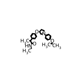 CCNC(=O)C(C)c1ccc(O[C@@H]2CCN(c3ccc(OC(C)C)cc3)C2)cc1